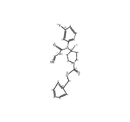 N=CNC(=O)N(c1cccc(F)c1)C1(I)CCN(C(=O)OCc2ccccc2)CC1